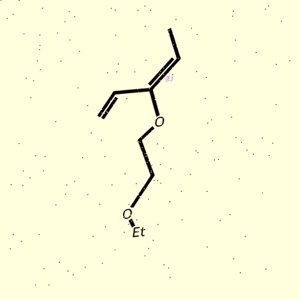 C=C/C(=C\C)OCCOCC